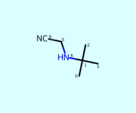 CC(C)(C)NCC#N